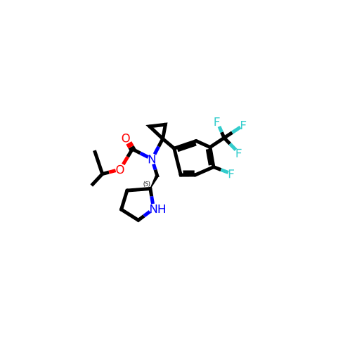 CC(C)OC(=O)N(C[C@@H]1CCCN1)C1(c2ccc(F)c(C(F)(F)F)c2)CC1